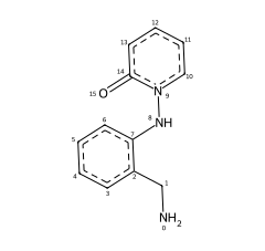 NCc1ccccc1Nn1ccccc1=O